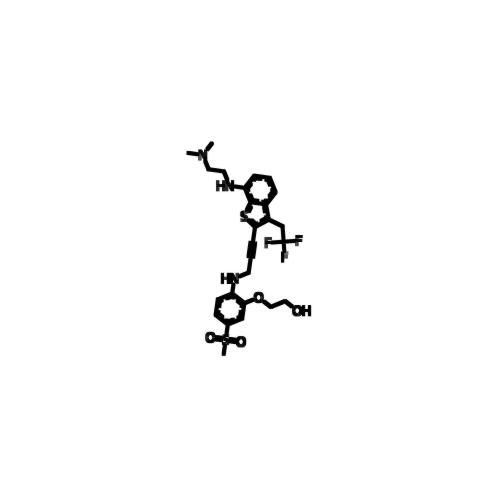 CN(C)CCNc1cccc2c(CC(F)(F)F)c(C#CCNc3ccc(S(C)(=O)=O)cc3OCCO)sc12